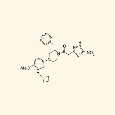 COc1ccc(N2CCN(C(=O)Cc3n[nH]c([N+](=O)[O-])n3)C(Cc3ccccc3)C2)cc1OC1CCC1